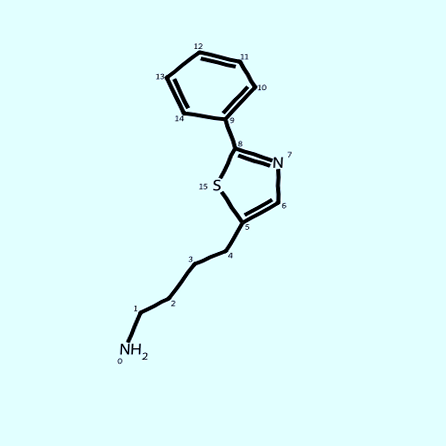 NCCCCc1cnc(-c2ccccc2)s1